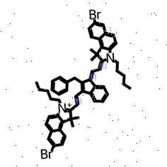 CCCCCN1/C(=C/C=C2C(Cc3ccccc3)=C(/C=C/C3=[N+](CCCCC)c4ccc5cc(Br)ccc5c4C3(C)C)c3ccccc3/2)C(C)(C)c2c1ccc1cc(Br)ccc21